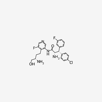 N[C@H](CO)CCc1c(F)cncc1NC(=O)[C@@H](N)[C@@H](c1ccc(Cl)cc1)c1cccc(F)c1